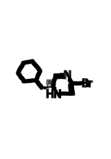 BrC1=CN[C@H](CC2CCCCC2)C=N1